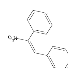 O=[N+]([O-])C(=Cc1ccccc1)c1cc[c]cc1